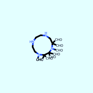 O=CN1CCNCCNCC(C=O)(C=O)N(C=O)C(C=O)(C=O)C1(C=O)C=O